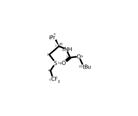 CC(C)[C@H](CSCC(F)(F)F)NC(=O)OC(C)(C)C